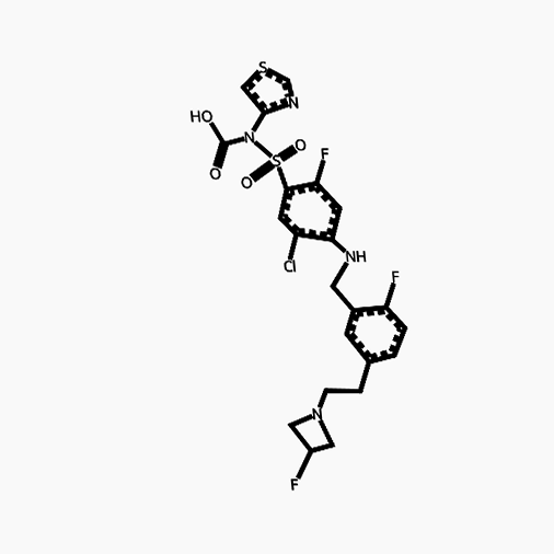 O=C(O)N(c1cscn1)S(=O)(=O)c1cc(Cl)c(NCc2cc(CCN3CC(F)C3)ccc2F)cc1F